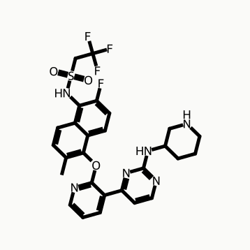 Cc1ccc2c(NS(=O)(=O)CC(F)(F)F)c(F)ccc2c1Oc1ncccc1-c1ccnc(NC2CCCNC2)n1